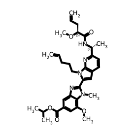 C=CCCCn1c(-c2nc3cc(C(=O)OC(C)C)cc(OC)c3n2C)cc2ccc([C@@H](C)NC(=O)[C@H](CC=C)OC)nc21